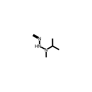 C=NNN(C)C(C)C